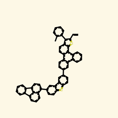 C=Cc1sc2c(ccc3c4ccc(-c5ccc6sc7ccc(-c8ccc9c%10c(cccc8%10)-c8ccccc8-9)cc7c6c5)cc4c4ccccc4c32)c1-c1ccccc1C